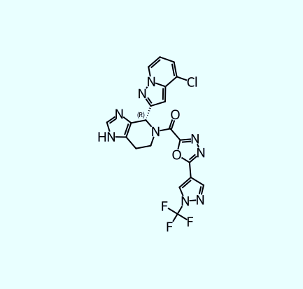 O=C(c1nnc(-c2cnn(C(F)(F)F)c2)o1)N1CCc2[nH]cnc2[C@@H]1c1cc2c(Cl)cccn2n1